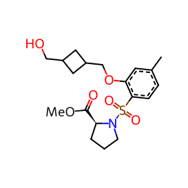 COC(=O)[C@@H]1CCCN1S(=O)(=O)c1ccc(C)cc1OCC1CC(CO)C1